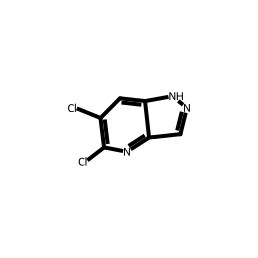 Clc1cc2[nH]ncc2nc1Cl